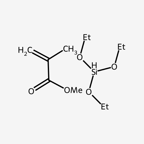 C=C(C)C(=O)OC.CCO[SiH](OCC)OCC